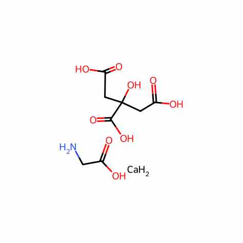 NCC(=O)O.O=C(O)CC(O)(CC(=O)O)C(=O)O.[CaH2]